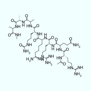 CNC(=O)C(C)NC(=O)[C@H](C)NC(=O)C(C)NC(=O)[C@H](CCCNC(N)=O)NC(=O)C(CCCCC(=N)N)NC(=O)[C@H](CCCNC(=N)N)NC(=O)C(CCC(N)=O)NC(=O)[C@H](CCCNC(=N)N)NC(C)=O